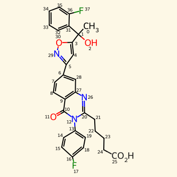 CC(O)(c1cc(-c2ccc3c(=O)n(-c4ccc(F)cc4)c(CCCCC(=O)O)nc3c2)no1)c1ccccc1F